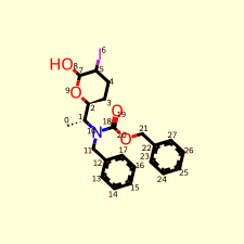 C[C@H]([C@@H]1CCC(I)C(O)O1)N(Cc1ccccc1)C(=O)OCc1ccccc1